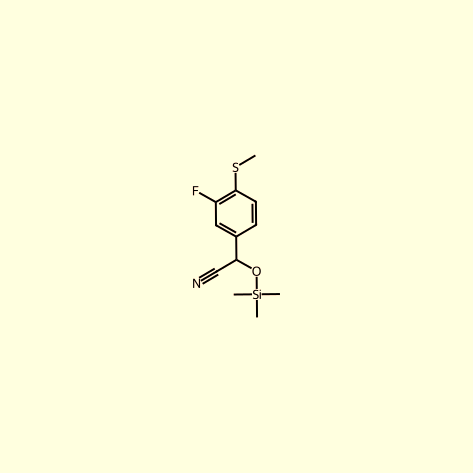 CSc1ccc(C(C#N)O[Si](C)(C)C)cc1F